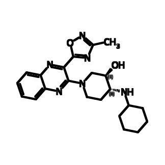 Cc1noc(-c2nc3ccccc3nc2N2CC[C@@H](NC3CCCCC3)[C@H](O)C2)n1